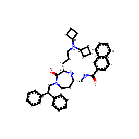 O=C(NC[C@@H]1CCN(CC(c2ccccc2)c2ccccc2)C(=O)[C@H](CCCN(C2CCC2)C2CCC2)N1)c1ccc2ccccc2c1